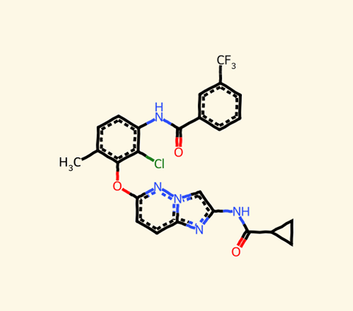 Cc1ccc(NC(=O)c2cccc(C(F)(F)F)c2)c(Cl)c1Oc1ccc2nc(NC(=O)C3CC3)cn2n1